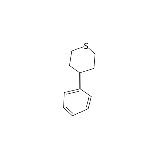 c1ccc(C2CCSCC2)cc1